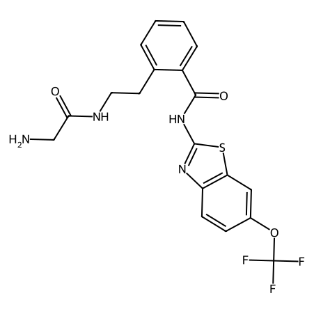 NCC(=O)NCCc1ccccc1C(=O)Nc1nc2ccc(OC(F)(F)F)cc2s1